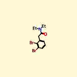 CCN(CC)C(=O)Cc1cccc(Br)c1Br